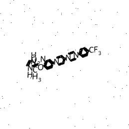 CC1(COc2ccc(N3CCC(N4CCN(c5ccc(C(F)(F)F)cc5)CC4)CC3)cc2[N+](=O)[O-])NC=CN1